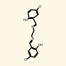 Oc1ccc(Cl)cc1C=NCCN=Cc1cc(Cl)ccc1O